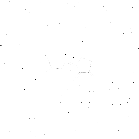 C=C1CC/C(=C/CC(C)C)C1=O